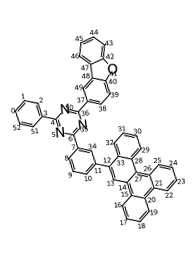 c1ccc(-c2nc(-c3cccc(-c4cc5c6ccccc6c6ccccc6c5c5ccccc45)c3)nc(-c3ccc4oc5ccccc5c4c3)n2)cc1